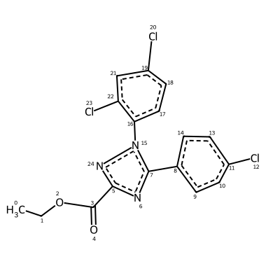 CCOC(=O)c1nc(-c2ccc(Cl)cc2)n(-c2ccc(Cl)cc2Cl)n1